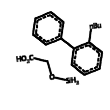 CCCCc1ccccc1-c1ccccc1.O=C(O)CO[SiH3]